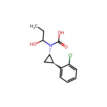 CCC(O)N(C(=O)O)[C@H]1C[C@@H]1c1ccccc1Cl